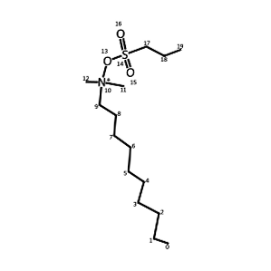 CCCCCCCCCC[N+](C)(C)OS(=O)(=O)CCC